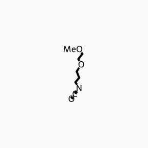 COCCOCCCN=C=O